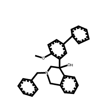 COc1ccc(-c2ccccc2)cc1C1(O)CN(Cc2ccccc2)Cc2ccccc21